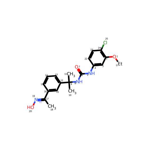 CCOc1cc(NC(=O)NC(C)(C)c2cccc(/C(C)=N/O)c2)ccc1Cl